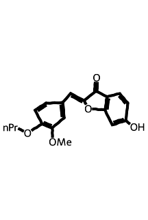 CCCOc1ccc(/C=C2\Oc3cc(O)ccc3C2=O)cc1OC